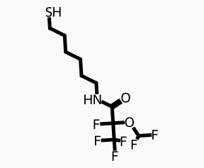 O=C(NCCCCCCS)C(F)(OC(F)F)C(F)(F)F